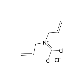 C=CC[N+](CC=C)=C(Cl)Cl.[Cl-]